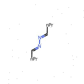 CCCC=NN=CCCC